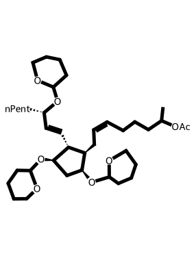 CCCCC[C@@H](/C=C/[C@@H]1[C@@H](C/C=C\CCCC(C)OC(C)=O)[C@@H](OC2CCCCO2)C[C@H]1OC1CCCCO1)OC1CCCCO1